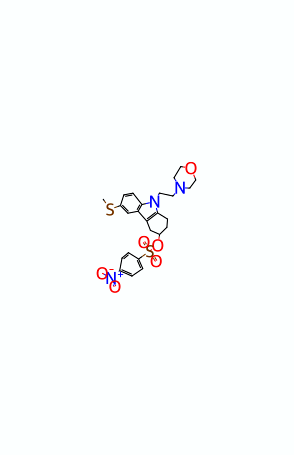 CSc1ccc2c(c1)c1c(n2CCN2CCOCC2)CCC(OS(=O)(=O)c2ccc([N+](=O)[O-])cc2)C1